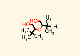 CC(C)(C)C(CO)OC(CO)C(C)(C)C